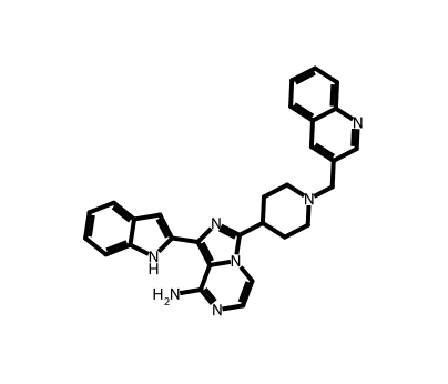 Nc1nccn2c(C3CCN(Cc4cnc5ccccc5c4)CC3)nc(-c3cc4ccccc4[nH]3)c12